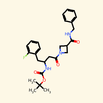 CC(C)(C)OC(=O)NC(CC(=O)N1CC(C(=O)NCc2ccccc2)C1)Cc1ccccc1F